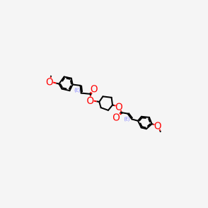 COc1ccc(/C=C/C(=O)OC2CCC(OC(=O)/C=C/c3ccc(OC)cc3)CC2)cc1